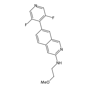 COCCNc1cc2ccc(-c3c(F)cncc3F)cc2cn1